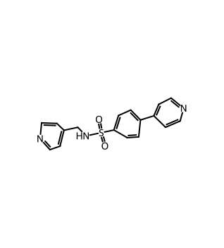 O=S(=O)(NCc1ccncc1)c1ccc(-c2ccncc2)cc1